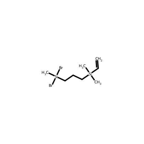 C=C[Si](C)(C)CCC[Si](C)(Br)Br